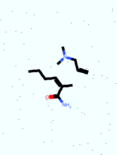 C=CCN(C)C.CCCC=C(C)C(N)=O